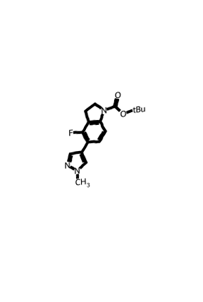 Cn1cc(-c2ccc3c(c2F)CCN3C(=O)OC(C)(C)C)cn1